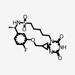 C[C@@H](NS(=O)(=O)CCCCCn1cnc(=O)[nH]c1=O)c1ccc(F)c(OCC2CC2)c1